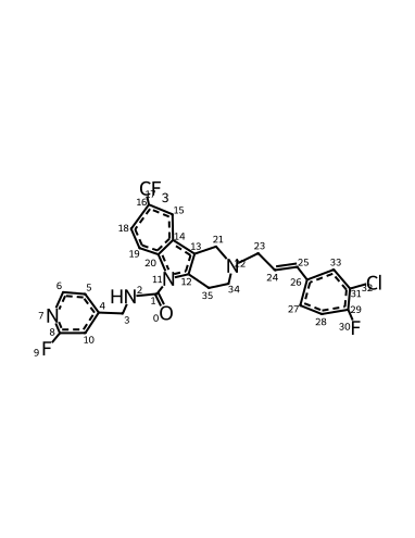 O=C(NCc1ccnc(F)c1)n1c2c(c3cc(C(F)(F)F)ccc31)CN(CC=Cc1ccc(F)c(Cl)c1)CC2